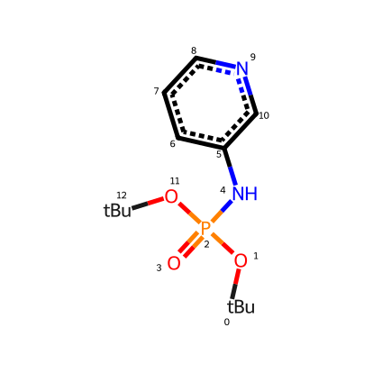 CC(C)(C)OP(=O)(Nc1cccnc1)OC(C)(C)C